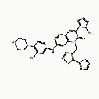 Cn1ccnc1-c1cc2cnc(Nc3ccc(N4CCNCC4)c(Cl)c3)nc2n(Cc2cnsc2-c2nccs2)c1=O